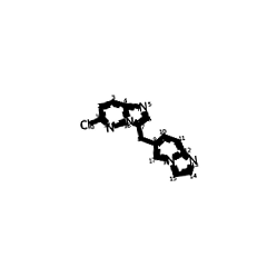 Clc1ccc2ncc(Cc3ccc4nccn4c3)n2n1